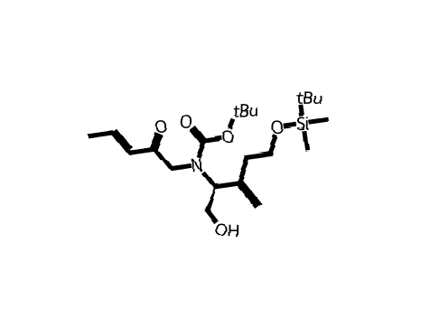 C=C(CCO[Si](C)(C)C(C)(C)C)[C@@H](CO)N(CC(=O)/C=C/C)C(=O)OC(C)(C)C